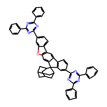 c1ccc(-c2nc(-c3ccccc3)nc(-c3ccc4c(c3)C3(c5cc6oc7cc(-c8nc(-c9ccccc9)nc(-c9ccccc9)n8)ccc7c6cc5-4)C4CC5CC(C4)CC3C5)n2)cc1